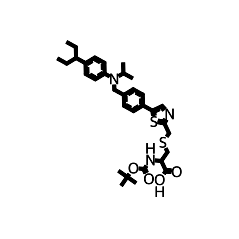 CCC(CC)c1ccc(N(Cc2ccc(-c3cnc(CSCC(NC(=O)OC(C)(C)C)C(=O)O)s3)cc2)C(C)C)cc1